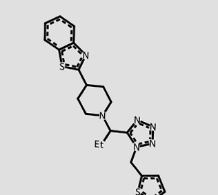 CCC(c1nnnn1Cc1cccs1)N1CCC(c2nc3ccccc3s2)CC1